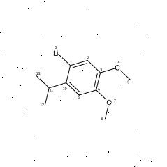 [Li][c]1cc(OC)c(OC)cc1C(C)C